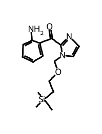 C[Si](C)(C)CCOCn1ccnc1C(=O)c1ccccc1N